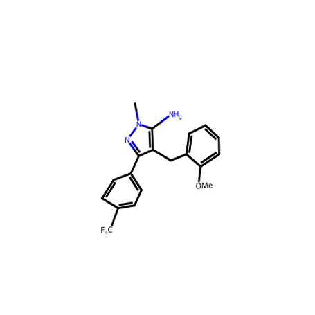 COc1ccccc1Cc1c(-c2ccc(C(F)(F)F)cc2)nn(C)c1N